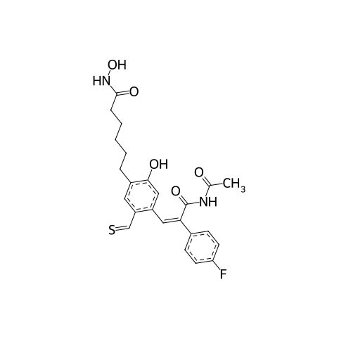 CC(=O)NC(=O)C(=Cc1cc(O)c(CCCCCC(=O)NO)cc1C=S)c1ccc(F)cc1